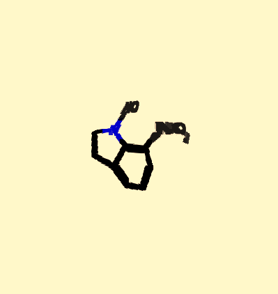 O=Nn1ccc2cccc([N+](=O)[O-])c21